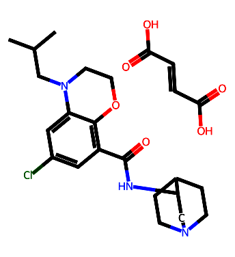 CC(C)CN1CCOc2c(C(=O)NC3CN4CCC3CC4)cc(Cl)cc21.O=C(O)/C=C/C(=O)O